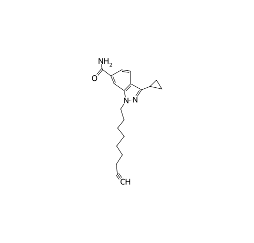 C#CCCCCCCCn1nc(C2CC2)c2ccc(C(N)=O)cc21